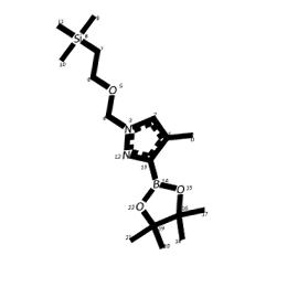 Cc1cn(COCC[Si](C)(C)C)nc1B1OC(C)(C)C(C)(C)O1